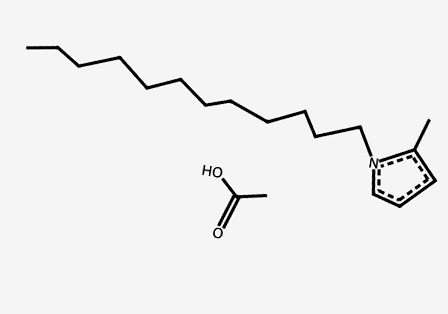 CC(=O)O.CCCCCCCCCCCCn1cccc1C